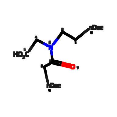 CCCCCCCCCCCCN(CC(=O)O)C(=O)CCCCCCCCCCC